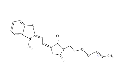 C/N=C/OOCCN1C(=O)C(=CC=C2Sc3ccccc3N2C)SC1=S